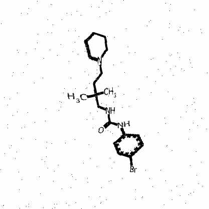 CC(C)(CCN1CCCCC1)CNC(=O)Nc1ccc(Br)cc1